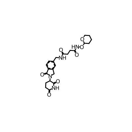 O=C(CCC(=O)NOC1CCCCO1)NCc1ccc2c(c1)CN(C1CCC(=O)NC1=O)C2=O